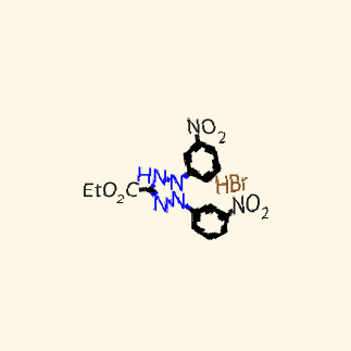 Br.CCOC(=O)C1=NN(c2cccc([N+](=O)[O-])c2)N(c2cccc([N+](=O)[O-])c2)N1